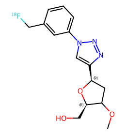 COC1C[C@H](c2cn(-c3cccc(C[18F])c3)nn2)O[C@@H]1CO